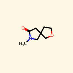 CN1CC2(CCOC2)CC1=O